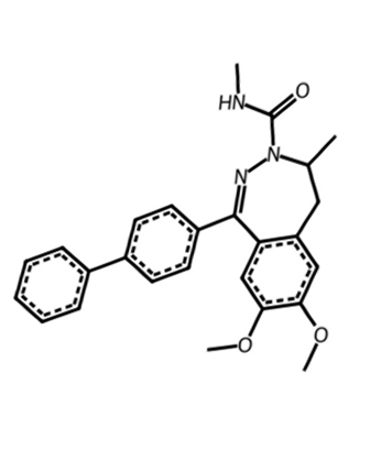 CNC(=O)N1N=C(c2ccc(-c3ccccc3)cc2)c2cc(OC)c(OC)cc2CC1C